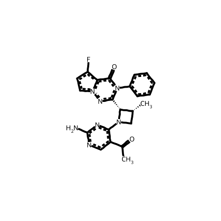 CC(=O)c1cnc(N)nc1N1C[C@@H](C)[C@H]1c1nn2ccc(F)c2c(=O)n1-c1ccccc1